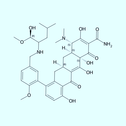 COc1ccc(CNC(CC(C)C)[C@H](O)OC)cc1-c1ccc(O)c2c1C[C@H]1C[C@H]3[C@H](N(C)C)C(O)=C(C(N)=O)C(=O)[C@@]3(O)C(O)=C1C2=O